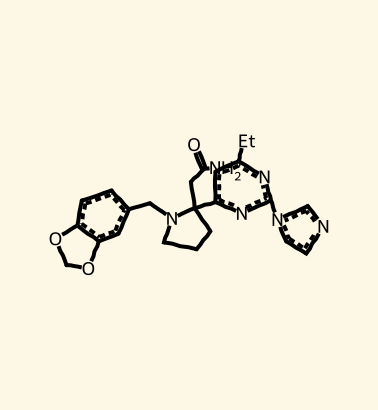 CCc1cc(C2(CC(N)=O)CCCN2Cc2ccc3c(c2)OCO3)nc(-n2ccnc2)n1